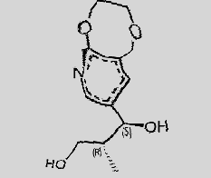 C[C@H](CO)[C@H](O)c1cnc2c(c1)OCCO2